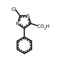 O=C(O)c1sc(Cl)nc1-c1ccccc1